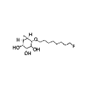 O[C@@H]1[C@@H](O)[C@H]2C[C@H]2[C@H](OCCCCCCCCF)[C@H]1O